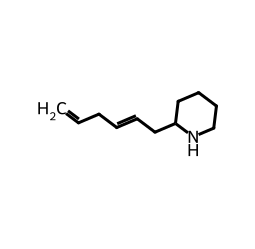 C=CCC=CCC1CCCCN1